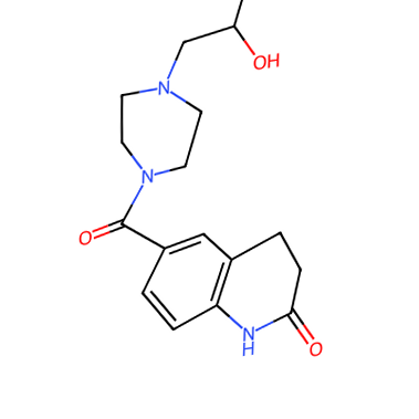 CC(O)CN1CCN(C(=O)c2ccc3c(c2)CCC(=O)N3)CC1